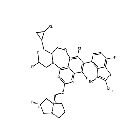 N#Cc1c(N)sc2c(F)ccc(-c3c(Cl)c4c5c(nc(OC[C@@]67CCCN6C[C@H](F)C7)nc5c3F)N(CC(F)F)C(CC3CC3C#N)CO4)c12